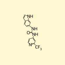 O=C(Nc1ccnc(C(F)(F)F)c1)Nc1ccc2cc[nH]c2c1